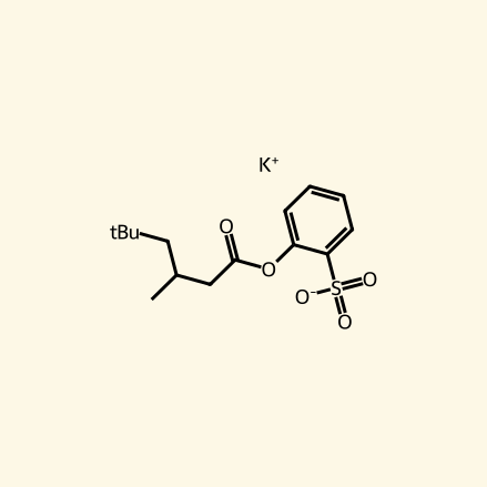 CC(CC(=O)Oc1ccccc1S(=O)(=O)[O-])CC(C)(C)C.[K+]